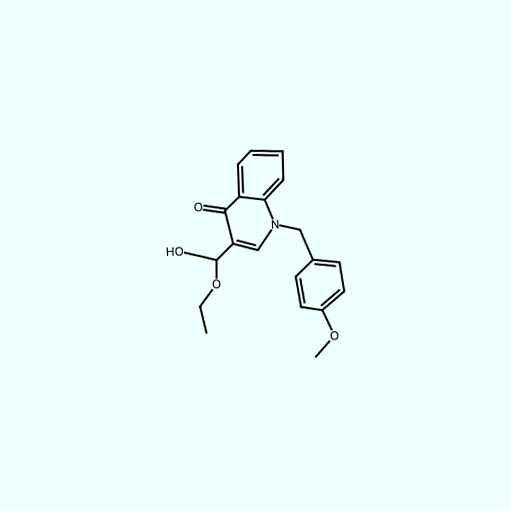 CCOC(O)c1cn(Cc2ccc(OC)cc2)c2ccccc2c1=O